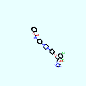 O=C(Nc1ccc(N2CCN(c3ccc(OCC(O)(Cn4cncn4)c4ccc(Cl)cc4Cl)cc3)CC2)cc1)Oc1ccccc1